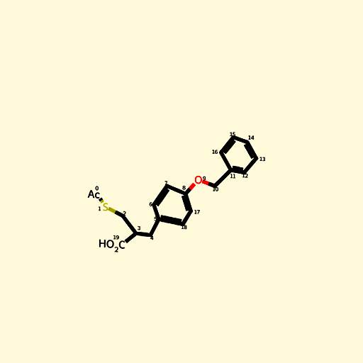 CC(=O)SCC(Cc1ccc(OCc2ccccc2)cc1)C(=O)O